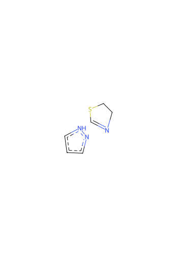 C1=NCCS1.c1cn[nH]c1